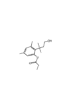 CCC(=O)Oc1cc(C)cc(C)c1C(C)(C)CCO